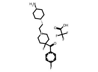 N[C@H]1CC[C@H](CCN2CCC(F)(C(=O)c3ccc(F)cc3)CC2)CC1.O=C(O)C(F)(F)F